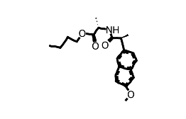 CCCCOC(=O)[C@H](C)NC(=O)[C@@H](C)c1ccc2cc(OC)ccc2c1